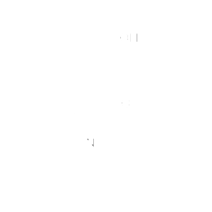 CN1COC(CO)C1